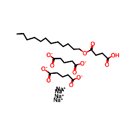 CCCCCCCCCCCCOC(=O)CCC(=O)O.O=C([O-])CCCC(=O)[O-].O=C([O-])CCCC(=O)[O-].[Na+].[Na+].[Na+].[Na+]